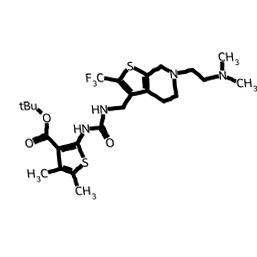 Cc1sc(NC(=O)NCc2c(C(F)(F)F)sc3c2CCN(CCN(C)C)C3)c(C(=O)OC(C)(C)C)c1C